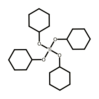 C1CCC([O][Ti]([O]C2CCCCC2)([O]C2CCCCC2)[O]C2CCCCC2)CC1